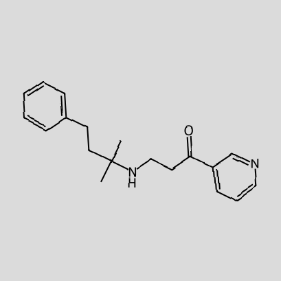 CC(C)(CCc1ccccc1)NCCC(=O)c1cccnc1